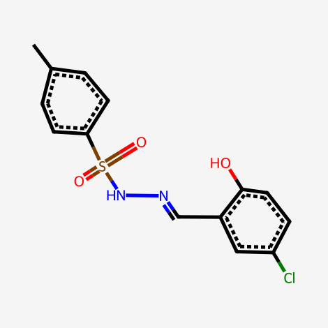 Cc1ccc(S(=O)(=O)N/N=C/c2cc(Cl)ccc2O)cc1